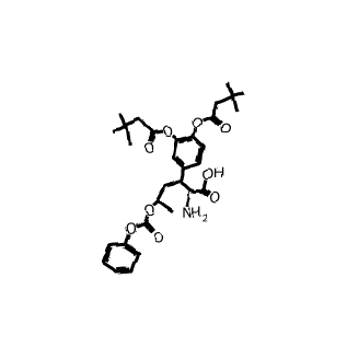 CC(CC(c1ccc(OC(=O)CC(C)(C)C)c(OC(=O)CC(C)(C)C)c1)[C@H](N)C(=O)O)OC(=O)Oc1ccccc1